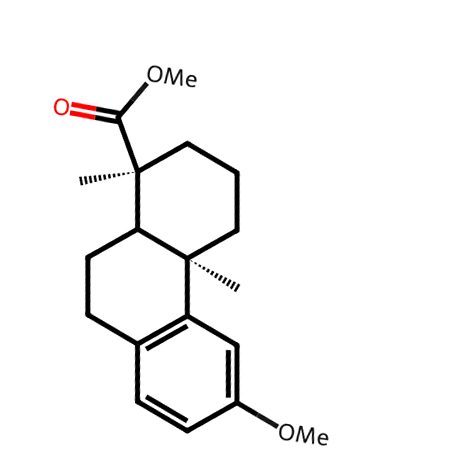 COC(=O)[C@@]1(C)CCC[C@@]2(C)c3cc(OC)ccc3CCC21